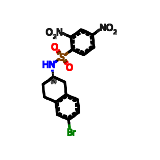 O=[N+]([O-])c1ccc(S(=O)(=O)N[C@H]2CCc3cc(Br)ccc3C2)c([N+](=O)[O-])c1